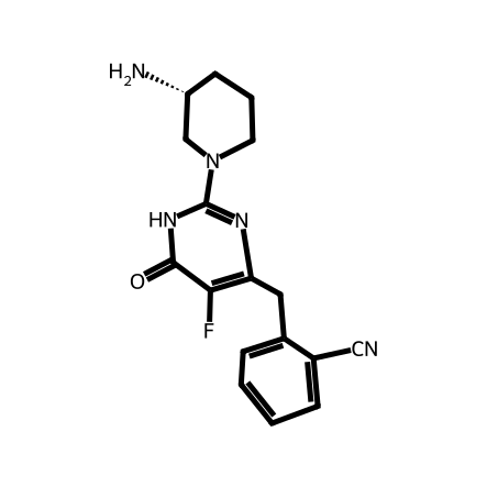 N#Cc1ccccc1Cc1nc(N2CCC[C@@H](N)C2)[nH]c(=O)c1F